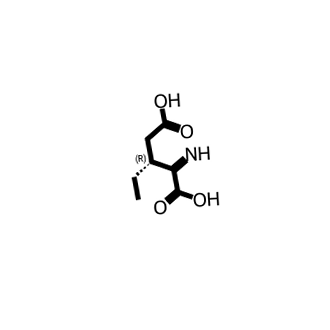 CC[C@H](CC(=O)O)C(=N)C(=O)O